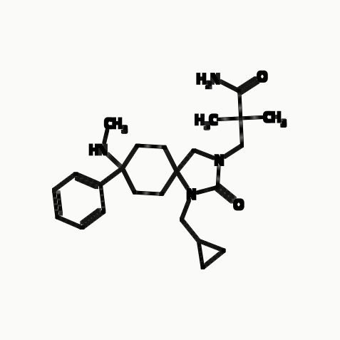 CNC1(c2ccccc2)CCC2(CC1)CN(CC(C)(C)C(N)=O)C(=O)N2CC1CC1